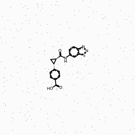 O=C(O)c1ccc([C@@H]2C[C@H]2C(=O)Nc2ccc3nnsc3c2)cc1